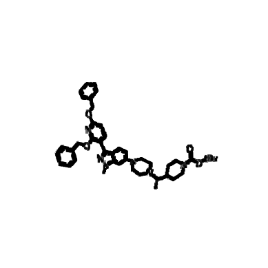 C[C@H](C1CCN(C(=O)OC(C)(C)C)CC1)N1CCN(c2ccc3c(-c4ccc(OCc5ccccc5)nc4OCc4ccccc4)nn(C)c3c2)CC1